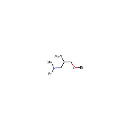 CCOCC(CN(CC)C(C)(C)C)NC